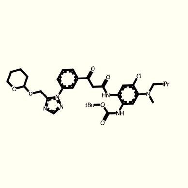 CC(C)CN(C)c1cc(NC(=O)OC(C)(C)C)c(NC(=O)CC(=O)c2cccc(-n3ncnc3COC3CCCCO3)c2)cc1Cl